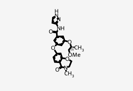 COC[C@H](C)Oc1cc(Oc2ccc3c(c2)OCCN(C)C3=O)cc(C(=O)Nc2cc[nH]n2)c1